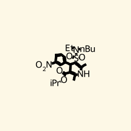 CCCCN(CC)S(=O)(=O)C1=C(C)NC(C)=C(C(=O)OC(C)C)C1c1cccc([N+](=O)[O-])c1